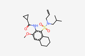 C=CCN(CC(C)C)S(=O)(=O)c1c2c(cc(OC)c1NC(=O)C1CC1)CCCC2